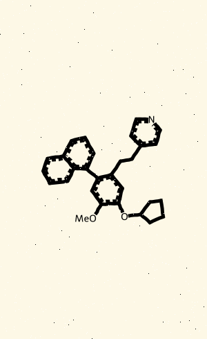 COc1cc(-c2cccc3ccccc23)c(CCc2ccncc2)cc1OC1CCCC1